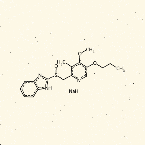 CCCOc1cnc(C[S+]([O-])c2nc3ccccc3[nH]2)c(C)c1OC.[NaH]